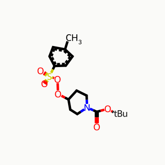 Cc1ccc(S(=O)(=O)OOC2CCN(C(=O)OC(C)(C)C)CC2)cc1